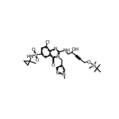 Cn1cc(Cn2c(NCC(O)C#CCO[Si](C)(C)C(C)(C)C)nc3c(Cl)cc(S(=O)(=O)NC4(C)CC4)cc3c2=O)cn1